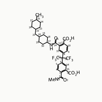 CNC(=O)c1ccc(C(c2ccc(C(=O)O)c(C(=O)NC3CCC(CC4CCC(C)CC4)CC3)c2)(C(F)(F)F)C(F)(F)F)cc1C(=O)O